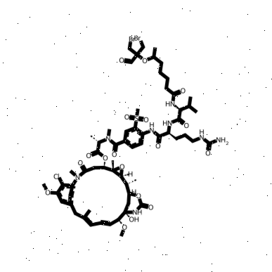 COc1cc2cc(c1Cl)N(C)C(=O)C[C@H](OC(=O)[C@H](C)N(C)C(=O)c1ccc(NC(=O)[C@H](CCCNC(N)=O)NC(=O)[C@@H](NC(=O)CCCCC(C)OC(C=O)(CBr)CBr)C(C)C)c(S(C)(=O)=O)c1)[C@]1(C)O[C@H]1[C@H](C)[C@@H]1C[C@@](O)(NC(=O)O1)[C@H](OC)/C=C/C=C(\C)C2